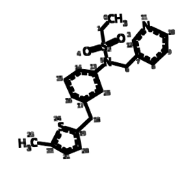 CCS(=O)(=O)N(Cc1cccnc1)c1cccc(Cc2ccc(C)s2)c1